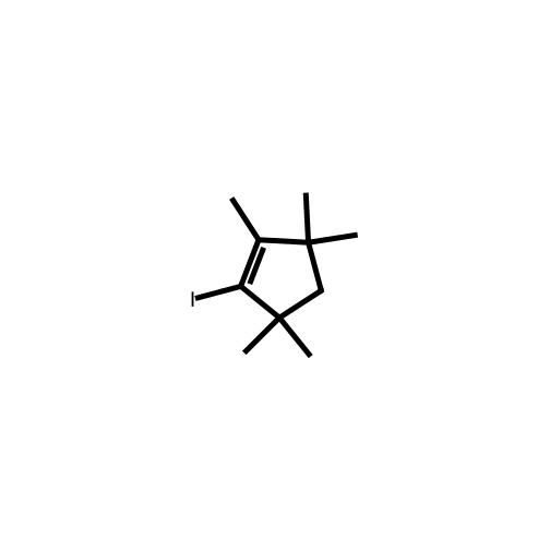 CC1=C(I)C(C)(C)CC1(C)C